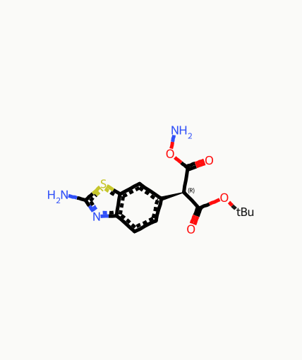 CC(C)(C)OC(=O)[C@H](C(=O)ON)c1ccc2nc(N)sc2c1